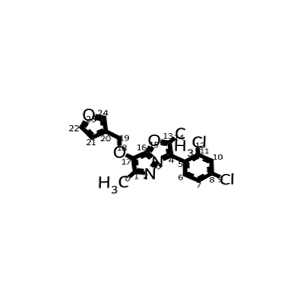 Cc1nn2c(-c3ccc(Cl)cc3Cl)c(C)oc2c1OCc1ccoc1